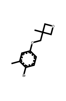 Cc1cc(OCC2(C)COC2)ccc1Br